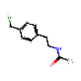 CC(=O)NCCc1ccc(CCl)cc1